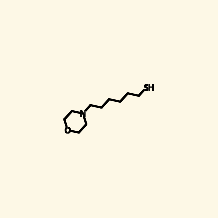 SCCCCCCN1CCOCC1